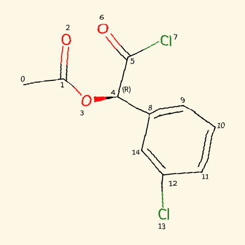 CC(=O)O[C@@H](C(=O)Cl)c1cccc(Cl)c1